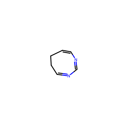 C1=C/N=C\N=C/CC\1